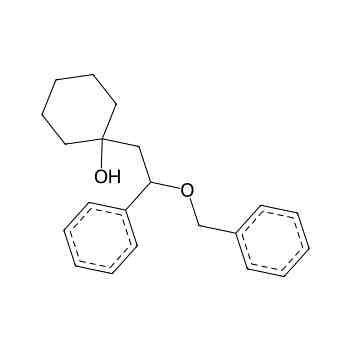 OC1(CC(OCc2ccccc2)c2ccccc2)CCCCC1